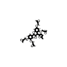 Cc1ccc(C2c3c(OCC4CO4)cc(OCC4CO4)cc3OC(c3ccc(OCC4CO4)c(OCC4CO4)c3)C2O)o1